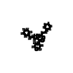 O=C(/C=C/c1ccccc1)N/C(=C\C=C\c1ccccc1)C(=O)N1CCOCC1